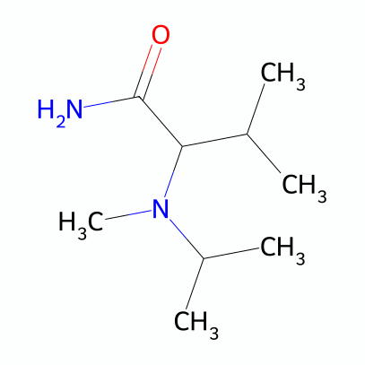 CC(C)C(C(N)=O)N(C)C(C)C